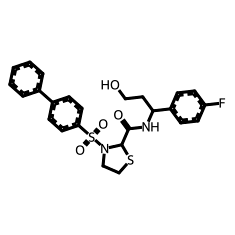 O=C(NC(CCO)c1ccc(F)cc1)C1SCCN1S(=O)(=O)c1ccc(-c2ccccc2)cc1